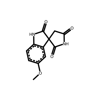 COc1ccc2c(c1)C1(CC(=O)NC1=O)C(=O)N2